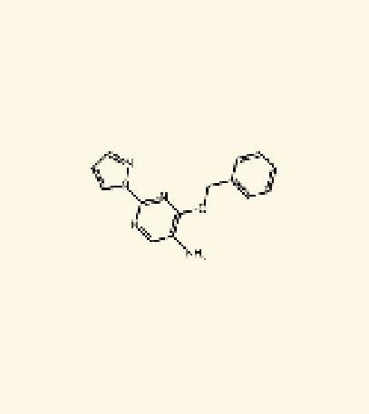 Nc1cnc(-n2cccn2)nc1OCc1ccccc1